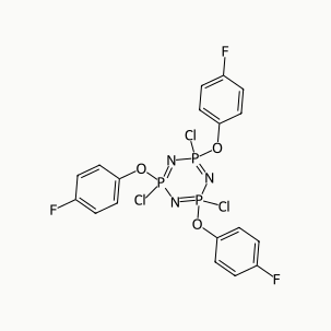 Fc1ccc(OP2(Cl)=NP(Cl)(Oc3ccc(F)cc3)=NP(Cl)(Oc3ccc(F)cc3)=N2)cc1